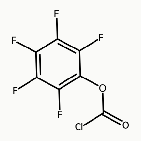 O=C(Cl)Oc1c(F)c(F)c(F)c(F)c1F